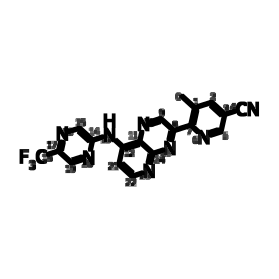 Cc1cc(C#N)cnc1-c1cnc2c(Nc3cnc(C(F)(F)F)cn3)ccnc2n1